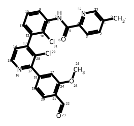 [CH2]c1ccc(C(=O)Nc2cccc(-c3ccnc(-c4ccc(C=O)c(OC)c4)c3Cl)c2Cl)nc1